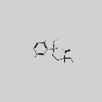 Nc1ccc(F)c(C2(CF)CCC(F)(CF)C(=S)N2)c1